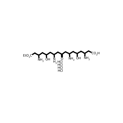 CCOC(=O)CC(N)CC(O)CC(N)CC(=O)CC(N)CC(O)CC(N)CC(=O)O.Cl.Cl.Cl.Cl